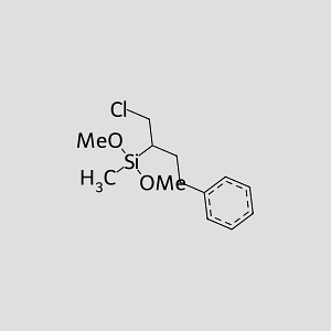 CO[Si](C)(OC)C(CCl)CCc1ccccc1